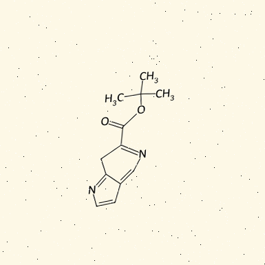 CC(C)(C)OC(=O)C1=NC=C2C=CN=C2C1